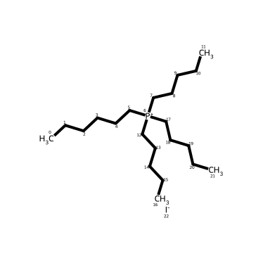 CCCCCC[P+](CCCCC)(CCCCC)CCCCC.[I-]